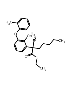 CCCCCC(C#N)(C(=O)OCC)c1cccc(Oc2ccccc2C)c1OC